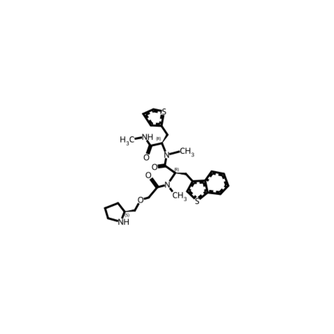 CNC(=O)[C@@H](Cc1cccs1)N(C)C(=O)[C@@H](Cc1csc2ccccc12)N(C)C(=O)COC[C@@H]1CCCN1